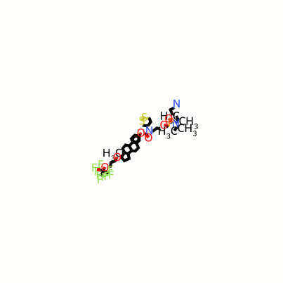 CC(C)N(C(C)C)P(COCCCN(C(=O)Oc1ccc2c(c1)CCC1C2CCC2(C)C(OCCCOC(C(F)(F)F)(C(F)(F)F)C(F)(F)F)CCC12)C1CCSSC1)OCCC#N